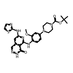 COc1cc(N2CCN(C(=O)OC(C)(C)C)CC2)ccc1Nc1nc(Nc2nccs2)cc2cn[nH]c(=O)c12